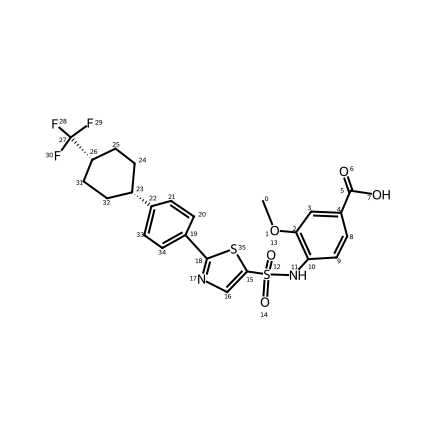 COc1cc(C(=O)O)ccc1NS(=O)(=O)c1cnc(-c2ccc([C@H]3CC[C@@H](C(F)(F)F)CC3)cc2)s1